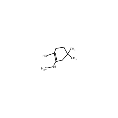 CNC1=C(O)CCC(C)(C)C1